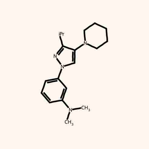 CC(C)c1nn(-c2cccc(N(C)C)c2)cc1N1CCCCC1